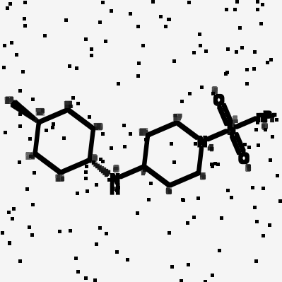 CCCS(=O)(=O)N1CCC(N[C@H]2CC[C@H](C)CC2)CC1